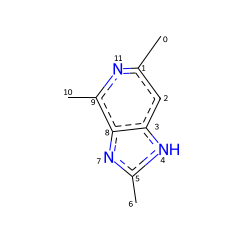 Cc1cc2[nH]c(C)nc2c(C)n1